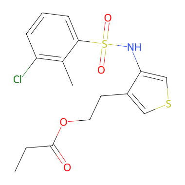 CCC(=O)OCCc1cscc1NS(=O)(=O)c1cccc(Cl)c1C